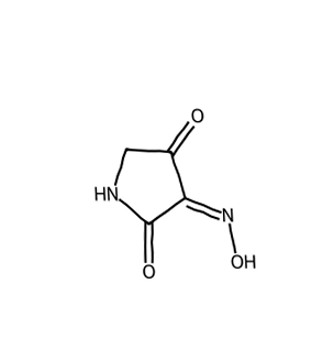 O=C1CNC(=O)C1=NO